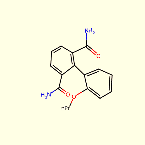 CCCOc1ccccc1-c1c(C(N)=O)cccc1C(N)=O